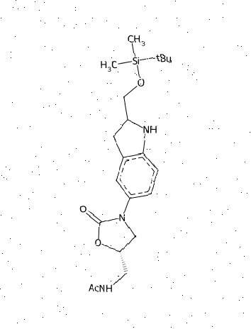 CC(=O)NC[C@H]1CN(c2ccc3c(c2)CC(CO[Si](C)(C)C(C)(C)C)N3)C(=O)O1